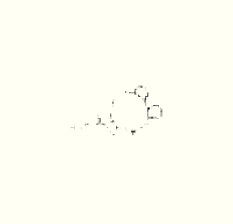 C[C@@H]1COc2ccccc2-c2cncc(c2)SCCCC[C@H](NC(=O)CCN)C(=O)N1